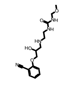 COCNC(=O)NCCNCC(O)COc1ccccc1C#N